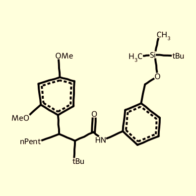 CCCCCC(c1ccc(OC)cc1OC)C(C(=O)Nc1cccc(CO[Si](C)(C)C(C)(C)C)c1)C(C)(C)C